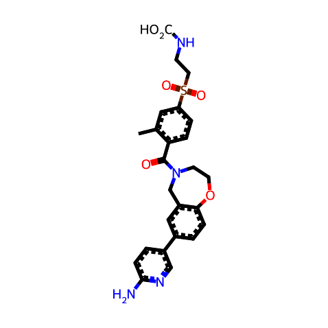 Cc1cc(S(=O)(=O)CCNC(=O)O)ccc1C(=O)N1CCOc2ccc(-c3ccc(N)nc3)cc2C1